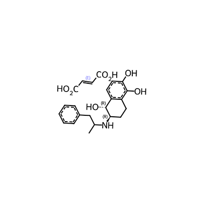 CC(Cc1ccccc1)N[C@@H]1CCc2c(ccc(O)c2O)[C@H]1O.O=C(O)/C=C/C(=O)O